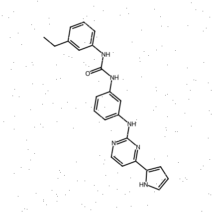 CCc1cccc(NC(=O)Nc2cccc(Nc3nccc(-c4ccc[nH]4)n3)c2)c1